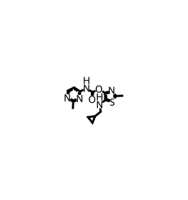 Cc1nccc(NC(=O)Oc2nc(C)sc2NCC2CC2)n1